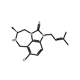 CC(C)=CCn1c(=S)n2c3c(c(Cl)ccc31)CN[C@@H](C)C2